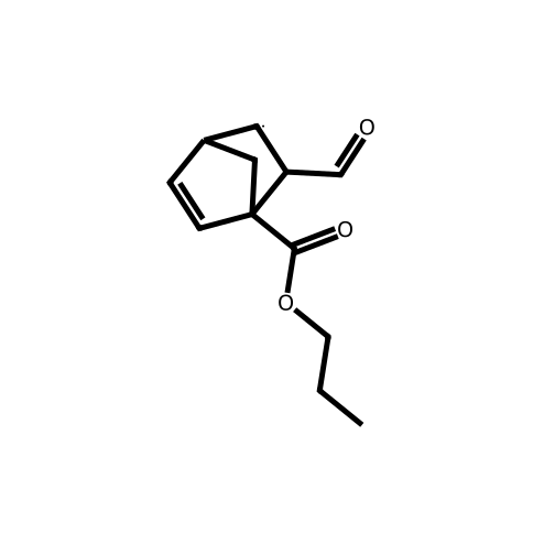 CCCOC(=O)C12C=CC([CH]C1C=O)C2